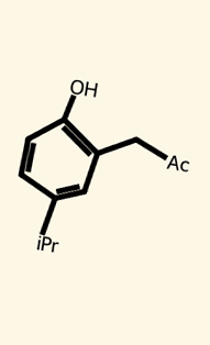 CC(=O)Cc1cc(C(C)C)ccc1O